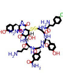 CN(C(=O)[C@H]1NC(=O)[C@H]2NC(=O)[C@H](CCCCN)NC(=O)[C@@H](Cc3ccc(C(N)=O)cc3)NC(=O)[C@H](Cc3ccc(O)cc3)NC(=O)[C@H](NC(=O)[C@@H](N)Cc3ccc(Cl)cc3)CSSC1[C@H]2O)[C@H](Cc1ccc(O)cc1)C(N)=O